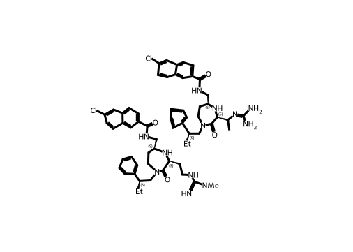 CC[C@H](CN1CC[C@@H](CNC(=O)c2ccc3cc(Cl)ccc3c2)N[C@@H](C(C)N=C(N)N)C1=O)c1ccccc1.CC[C@H](CN1CC[C@@H](CNC(=O)c2ccc3cc(Cl)ccc3c2)N[C@@H](CCNC(=N)NC)C1=O)c1ccccc1